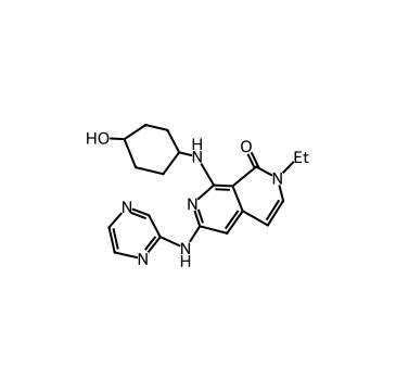 CCn1ccc2cc(Nc3cnccn3)nc(NC3CCC(O)CC3)c2c1=O